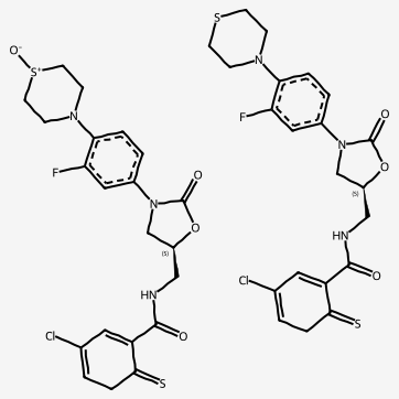 O=C(NC[C@H]1CN(c2ccc(N3CCSCC3)c(F)c2)C(=O)O1)C1=CC(Cl)=CCC1=S.O=C(NC[C@H]1CN(c2ccc(N3CC[S+]([O-])CC3)c(F)c2)C(=O)O1)C1=CC(Cl)=CCC1=S